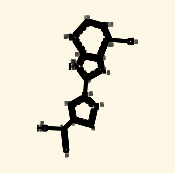 O=C(O)c1cnn(-c2nc3c(Cl)ncnc3[nH]2)c1